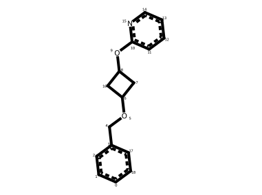 c1ccc(COC2CC(Oc3ccccn3)C2)cc1